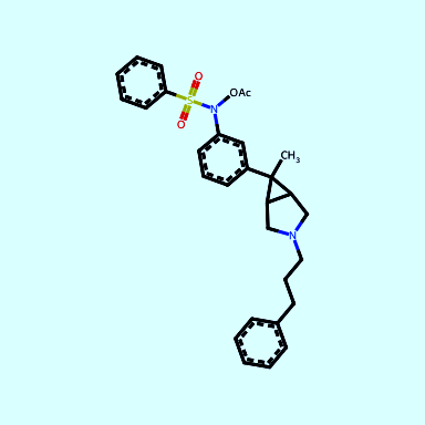 CC(=O)ON(c1cccc(C2(C)C3CN(CCCc4ccccc4)CC32)c1)S(=O)(=O)c1ccccc1